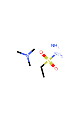 CCS(N)(=O)=O.CN(C)C.N